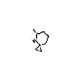 C[C@H]1CCCC2(CC2)N1